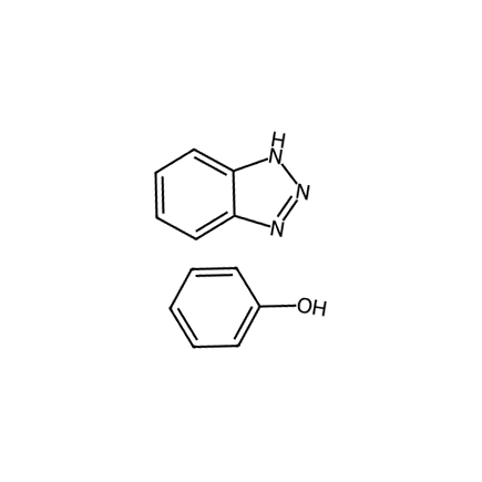 Oc1ccccc1.c1ccc2[nH]nnc2c1